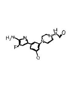 Nc1ncc(-c2cc(Cl)cc(N3CCN(BC=O)CC3)c2)cc1F